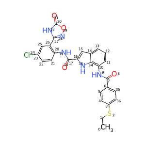 CCSc1ccc(C(=O)Nc2cccc3cc(C(=O)Nc4ccc(Cl)cc4-c4noc(=O)[nH]4)[nH]c23)cc1